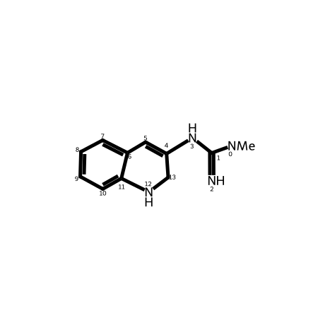 CNC(=N)NC1=Cc2ccccc2NC1